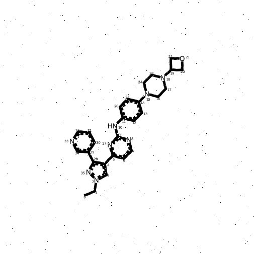 CCn1cc(-c2ccnc(Nc3ccc(N4CCN(C5COC5)CC4)cc3)n2)c(-c2cccnc2)n1